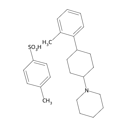 Cc1ccc(S(=O)(=O)O)cc1.Cc1ccccc1C1CCC(N2CCCCC2)CC1